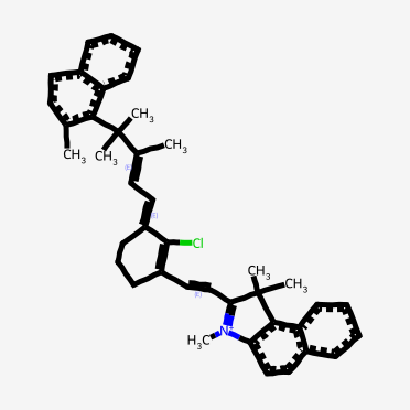 C/C(=C\C=C1/CCCC(/C=C/C2=[N+](C)c3ccc4ccccc4c3C2(C)C)=C1Cl)C(C)(C)c1c(C)ccc2ccccc12